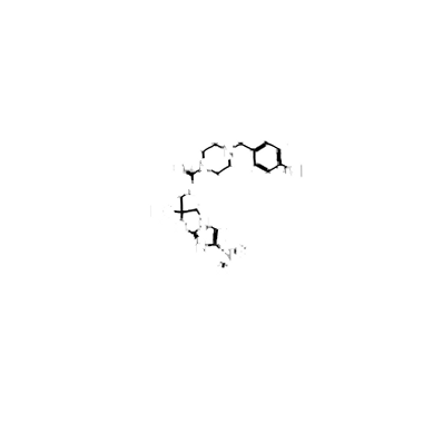 CC1(COC(=O)N2CCN(Cc3ccc(Cl)cc3)CC2)Cn2cc([N+](=O)[O-])nc2O1